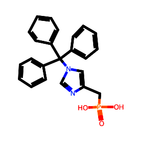 O=P(O)(O)Cc1cn(C(c2ccccc2)(c2ccccc2)c2ccccc2)cn1